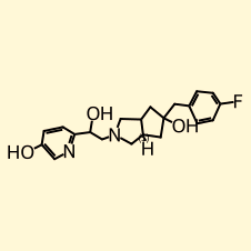 Oc1ccc(C(O)CN2CC3CC(O)(Cc4ccc(F)cc4)C[C@@H]3C2)nc1